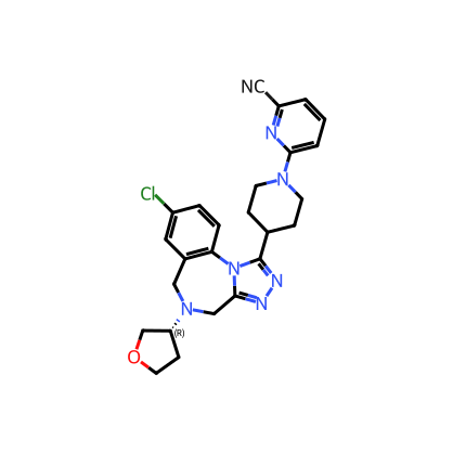 N#Cc1cccc(N2CCC(c3nnc4n3-c3ccc(Cl)cc3CN([C@@H]3CCOC3)C4)CC2)n1